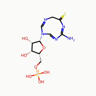 NC1=N/C(=S)C/N=C\N([C@@H]2O[C@H](CO[PH](O)(O)O)[C@H](O)[C@@H]2O)\C=N\1